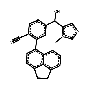 Cn1cncc1C(O)c1ccc(C#N)c(-c2ccc3c4c(cccc24)CC3)c1